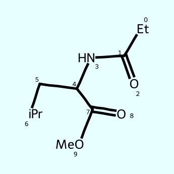 CCC(=O)NC(CC(C)C)C(=O)OC